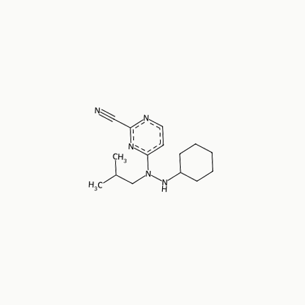 CC(C)CN(NC1CCCCC1)c1ccnc(C#N)n1